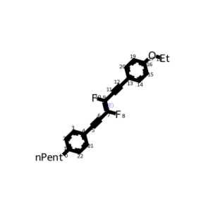 CCCCCc1ccc(C#C/C(F)=C(\F)C#Cc2ccc(OCC)cc2)cc1